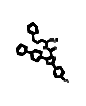 O=C(N[C@@H](COCc1ccccc1)C(=O)O)c1nc(-c2ccc(C(F)(F)F)cc2)oc1-c1ccc(-c2ccccc2)cc1